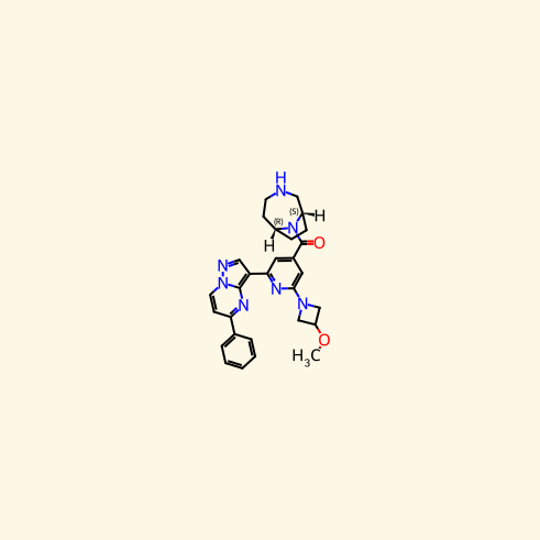 COC1CN(c2cc(C(=O)N3[C@H]4CCNC[C@@H]3CC4)cc(-c3cnn4ccc(-c5ccccc5)nc34)n2)C1